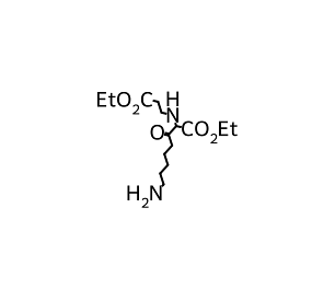 CCOC(=O)CCNC(C(=O)CCCCCN)C(=O)OCC